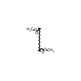 CCOC(=O)CC1(CCCCCCCCCCC2(C(=O)OCC)CC2)CC1